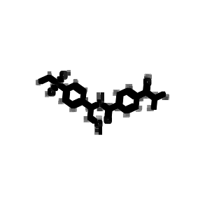 CCS(=O)(=O)c1ccc(C(CO)NC(=O)c2ccc(C(=O)C(C)C)cc2)cc1